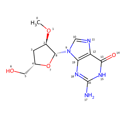 CO[C@@H]1C[C@@H](CO)O[C@H]1n1cnc2c(=O)[nH]c(N)nc21